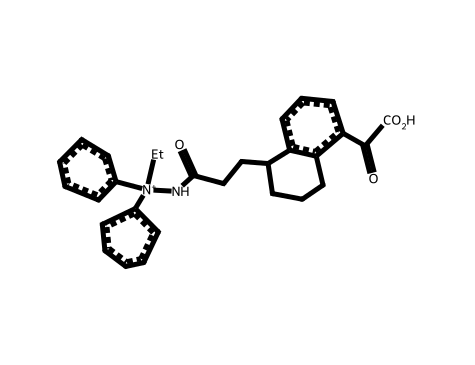 CC[N+](NC(=O)CCC1CCCc2c(C(=O)C(=O)O)cccc21)(c1ccccc1)c1ccccc1